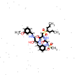 CCCC(CCC)S(=O)(=O)CC(NC(=O)CNS(C)(=O)=O)C(=O)N[C@@H](Cc1ccccc1)[C@H](O)CNCc1cccc(OC)c1